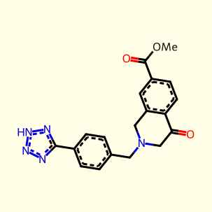 COC(=O)c1ccc2c(c1)CN(Cc1ccc(-c3nn[nH]n3)cc1)CC2=O